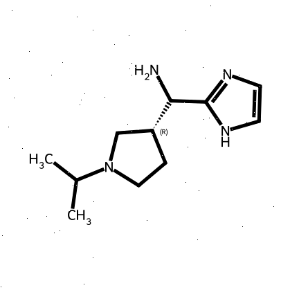 CC(C)N1CC[C@@H](C(N)c2ncc[nH]2)C1